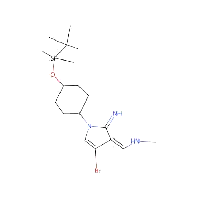 CN/C=C1\C(=N)N(C2CCC(O[Si](C)(C)C(C)(C)C)CC2)C=C1Br